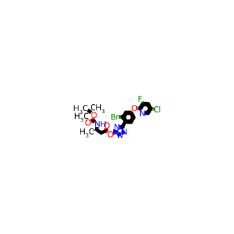 C[C@@H](CC(=O)On1nnc(-c2ccc(Oc3ncc(Cl)cc3F)cc2Br)n1)NC(=O)OC(C)(C)C